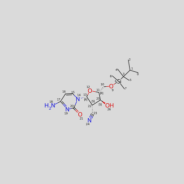 CC(C)C(C)(C)[Si](C)(C)OC[C@H]1O[C@@H](n2ccc(N)nc2=O)[C@@H](C#N)[C@@H]1O